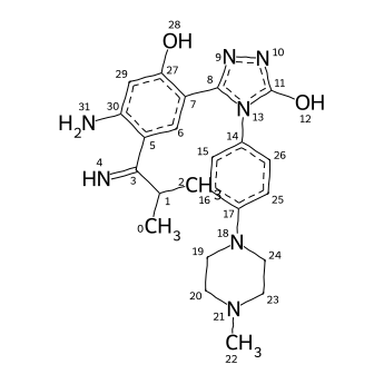 CC(C)C(=N)c1cc(-c2nnc(O)n2-c2ccc(N3CCN(C)CC3)cc2)c(O)cc1N